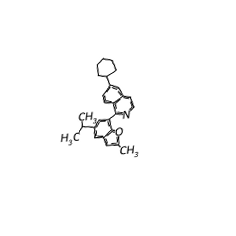 Cc1cc2cc(C(C)C)cc(-c3nccc4cc(C5CCCCC5)ccc34)c2o1